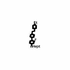 CCCCCCCc1ccc(-c2ccc(CCc3ccc(CC)cc3)cc2)c(F)c1